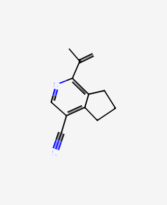 C=C(C)c1ncc(C#N)c2c1CCC2